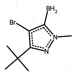 Bc1c(Br)c(C(C)(C)C)nn1C